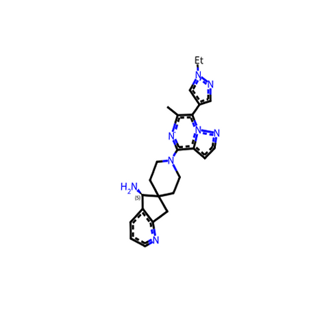 CCn1cc(-c2c(C)nc(N3CCC4(CC3)Cc3ncccc3[C@H]4N)c3ccnn23)cn1